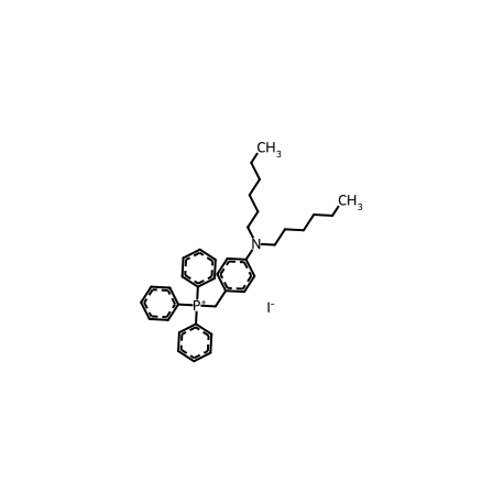 CCCCCCN(CCCCCC)c1ccc(C[P+](c2ccccc2)(c2ccccc2)c2ccccc2)cc1.[I-]